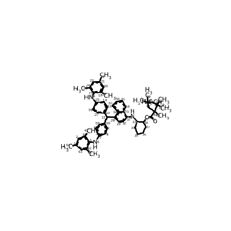 Cc1cc(C)c(Nc2ccc(C(c3ccc(Nc4c(C)cc(C)cc4C)cc3)c3ccc(NC4CCCCC4OC(=O)C(C)(CC(C)(C)C)C(C)(C)C)c4ccccc34)cc2)c(C)c1